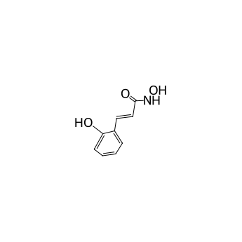 O=C(C=Cc1ccccc1O)NO